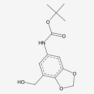 CC(C)(C)OC(=O)Nc1cc(CO)c2c(c1)OCO2